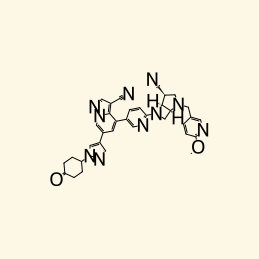 COc1ccc(CN2C[C@H](C#N)[C@H]3[C@@H]2CN3c2ccc(-c3cc(-c4cnn(C5CCC(=O)CC5)c4)cn4ncc(C#N)c34)cn2)cn1